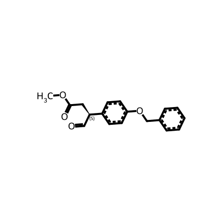 COC(=O)C[C@H](C=O)c1ccc(OCc2ccccc2)cc1